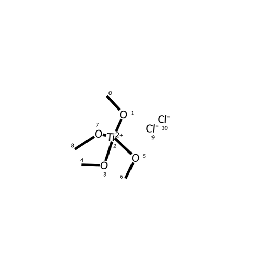 C[O][Ti+2]([O]C)([O]C)[O]C.[Cl-].[Cl-]